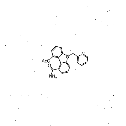 CC(=O)Oc1cccc2c1c1c(C(N)=O)cccc1n2Cc1ccccn1